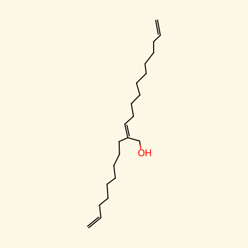 C=CCCCCCCCCC=C(CO)CCCCCCCC=C